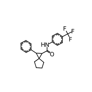 O=C(Nc1ccc(C(F)(F)F)cc1)C1C(c2ccccc2)C12CCCC2